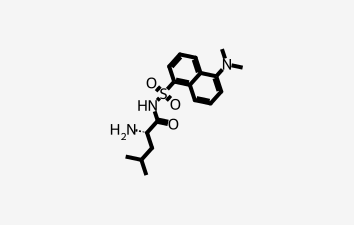 CC(C)C[C@H](N)C(=O)NS(=O)(=O)c1cccc2c(N(C)C)cccc12